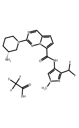 Cn1cc(NC(=O)c2ccc3cnc(N4CCC[C@@H](N)C4)nn23)c(C(F)F)n1.O=C(O)C(F)(F)F